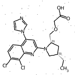 CC[C@H]1C[C@@H](COCC(=O)O)N(c2cc(-n3ccnc3)c3ccc(Cl)c(Cl)c3n2)C1